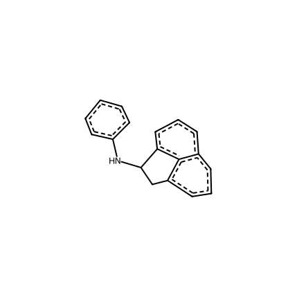 c1ccc(NC2Cc3cccc4cccc2c34)cc1